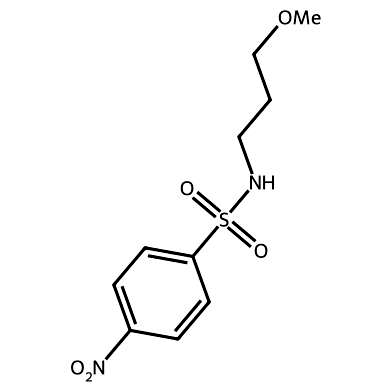 COCCCNS(=O)(=O)c1ccc([N+](=O)[O-])cc1